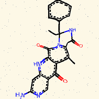 Cc1c2n(c(=O)c3[nH]c4cc(N)ncc4c(=O)c13)C(C)(c1ccccc1)NC2=O